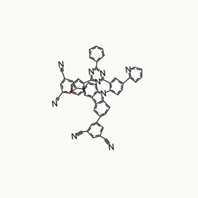 N#Cc1cc(C#N)cc(-c2ccc3c(c2)c2cc(-c4cc(C#N)cc(C#N)c4)ccc2n3-c2ccc(-c3ccccn3)cc2-c2nc(-c3ccccc3)nc(-c3ccccc3)n2)c1